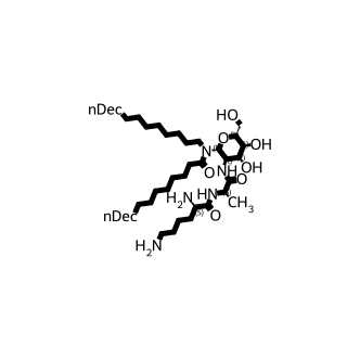 CCCCCCCCCCCCCCCCCCN(C(=O)CCCCCCCCCCCCCCCCC)[C@@H]1O[C@H](CO)[C@@H](O)[C@H](O)[C@H]1NC(=O)[C@H](C)NC(=O)[C@@H](N)CCCCN